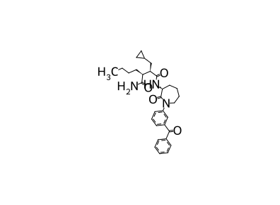 CCCC[C@H](C(N)=O)[C@@H](CC1CC1)C(=O)N[C@H]1CCCCN(c2cccc(C(=O)c3ccccc3)c2)C1=O